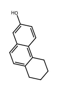 Oc1ccc2c3c(ccc2c1)CCCC3